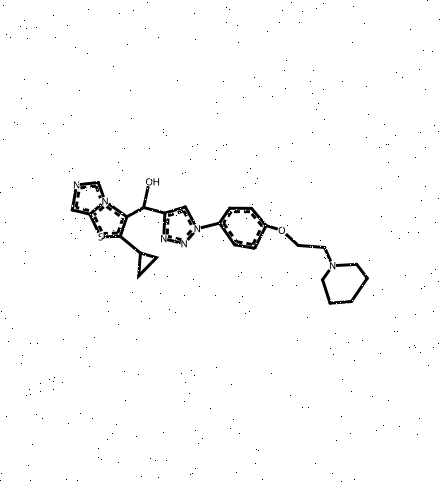 OC(c1cn(-c2ccc(OCCN3CCCCC3)cc2)nn1)c1c(C2CC2)sc2cncn12